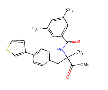 COC(=O)C(C)(Cc1ccc(-c2ccsc2)cc1)NC(=O)c1cc(C)cc(C)c1